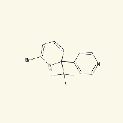 CC(C)(C)C1(c2ccncc2)C=CC=C(Br)N1